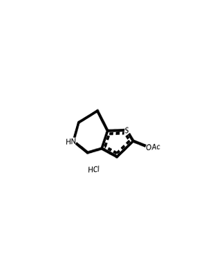 CC(=O)Oc1cc2c(s1)CCNC2.Cl